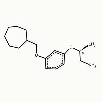 C[C@@H](CN)Oc1cccc(OCC2CCCCCC2)c1